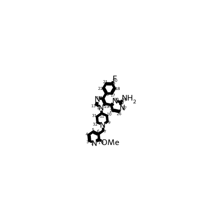 COc1ncccc1CN1CCC(n2cnc(-c3ccc(F)cc3)c2-c2ccnc(N)n2)CC1